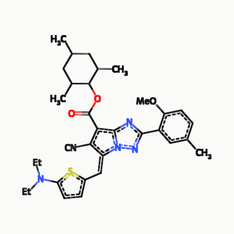 [C-]#[N+]c1c(C(=O)OC2C(C)CC(C)CC2C)c2nc(-c3cc(C)ccc3OC)nn2/c1=C/c1ccc(N(CC)CC)s1